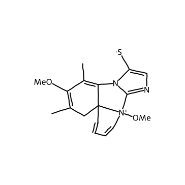 COC1=C(C)CC23C=CC=C[N+]2(OC)c2ncc([S])n2C3=C1C